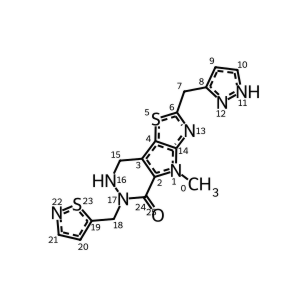 Cn1c2c(c3sc(Cc4cc[nH]n4)nc31)CNN(Cc1ccns1)C2=O